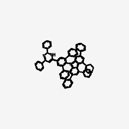 C1=CCCC(c2cc(-c3ccccc3)cc3c2c2c(-c4ccccc4)cc(-c4ccccc4)cc2n3-c2c(-c3ccccc3)cc(C3=CC(c4ccccc4)=NC(c4ccccc4)N3)cc2-c2ccccc2)=C1